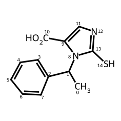 CC(c1ccccc1)n1c(C(=O)O)cnc1S